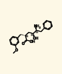 COc1cccc(C[C@H](C[C@H](O)[C@@H](N)Cc2ccccc2)C(=O)O)c1